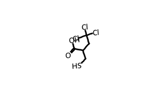 O=C(O)C(CS)CC(Cl)(Cl)Cl